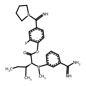 CCC(C)[C@@H](C(=O)Oc1ccc(C(=N)N2CCCC2)cc1F)N(C)c1cccc(C(=N)N)c1